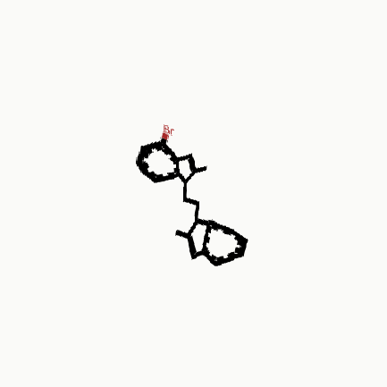 CC1=Cc2ccccc2C1CCC1C(C)=Cc2c(Br)cccc21